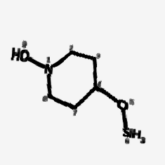 ON1CCC(O[SiH3])CC1